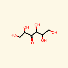 O=C(C(O)CO)C(O)C(O)CO